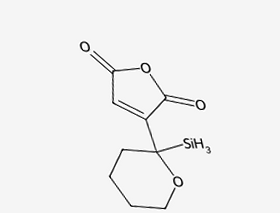 O=C1C=C(C2([SiH3])CCCCO2)C(=O)O1